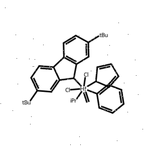 [CH2]=[Hf]([Cl])([Cl])([c]1ccccc1)([CH](C)C)([CH]1C=CC=C1)[CH]1c2cc(C(C)(C)C)ccc2-c2ccc(C(C)(C)C)cc21